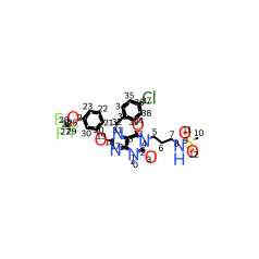 Cn1c(=O)n(CCCNS(C)(=O)=O)c(=O)c2c1nc(Oc1cccc(OC(F)(F)F)c1)n2Cc1ccc(Cl)cc1